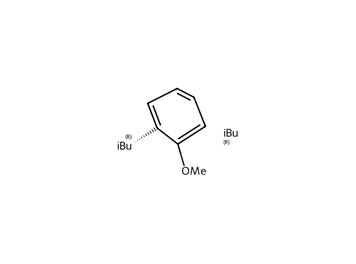 CC[C@@H](C)c1cccc([C@H](C)CC)c1OC